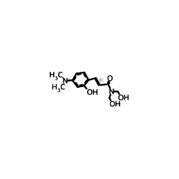 CN(C)c1ccc(/C=C/C(=O)N(CO)CO)c(O)c1